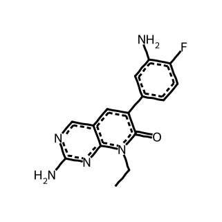 CCn1c(=O)c(-c2ccc(F)c(N)c2)cc2cnc(N)nc21